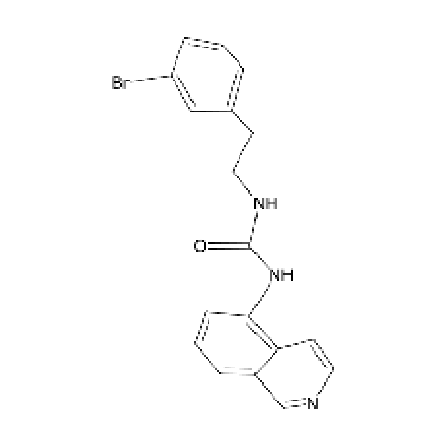 O=C(NCCc1cccc(Br)c1)Nc1cccc2cnccc12